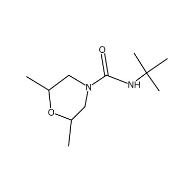 CC1CN(C(=O)NC(C)(C)C)CC(C)O1